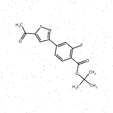 CC(=O)c1cc(-c2ccc(C(=O)OC(C)(C)C)c(F)c2)ns1